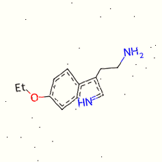 CCOc1ccc2c(CCN)c[nH]c2c1